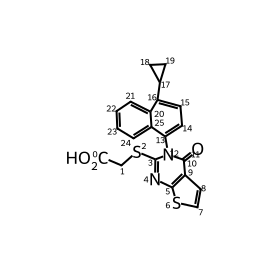 O=C(O)CSc1nc2sccc2c(=O)n1-c1ccc(C2CC2)c2ccccc12